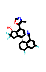 Cc1ncoc1-c1ccc([C@H]2CC[C@H](F)c3cc(F)cc(C#N)c32)c2c1[C@H](O)C(F)(F)C2